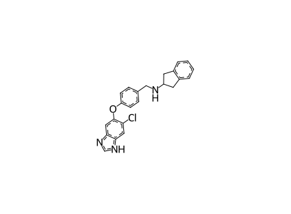 Clc1cc2[nH]cnc2cc1Oc1ccc(CNC2Cc3ccccc3C2)cc1